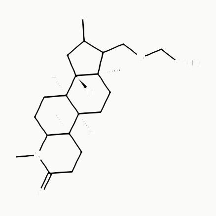 CCOC(=O)COCC1C(C)C[C@H]2[C@@H]3CCC4N(C)C(=O)CC[C@]4(C)[C@@H]3CC[C@]12C